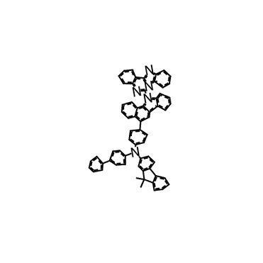 CC1(C)c2ccccc2-c2ccc(N(c3ccc(-c4ccccc4)cc3)c3ccc(-c4cc5c6ccccc6n(-c6nc7ccccc7c7nc8ccccc8n67)c5c5ccccc45)cc3)cc21